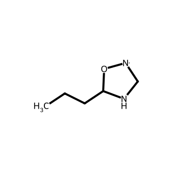 CCCC1NC[N]O1